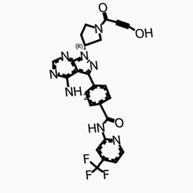 Nc1ncnc2c1c(-c1ccc(C(=O)Nc3cc(C(F)(F)F)ccn3)cc1)nn2[C@@H]1CCN(C(=O)C#CO)C1